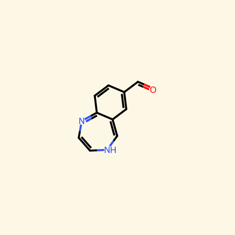 O=Cc1ccc2c(c1)=CNC=CN=2